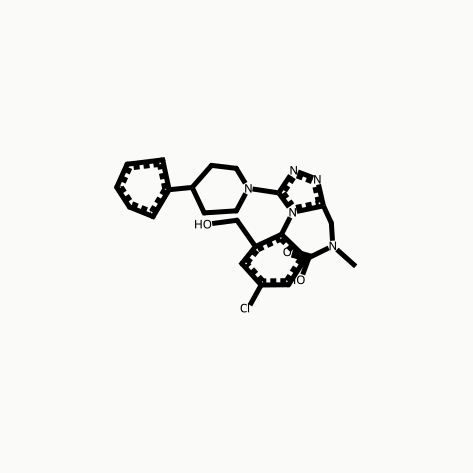 CN(Cc1nnc(N2CCC(c3ccccc3)CC2)n1-c1ccc(Cl)cc1CO)C(=O)O